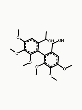 COc1cc(CO)c(-c2c(C(C)O)cc(OC)c(OC)c2OC)c(OC)c1OC